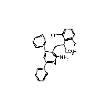 Nc1nc(-c2ccccc2)nc(-c2ccccc2)c1CC(C(=O)O)c1c(Cl)cccc1Cl